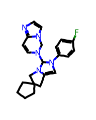 Fc1ccc(N2C=C3CC4(CCCC4)CN3C2N2C=Cc3nccn3C2)cc1